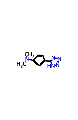 CN(C)c1ccc(-c2nnn[nH]2)cc1